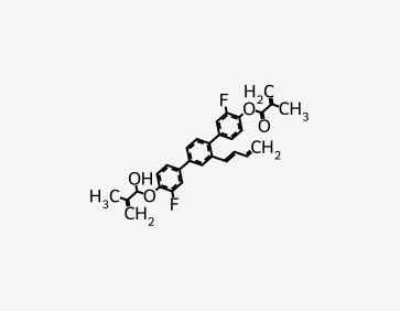 C=C/C=C/c1cc(-c2ccc(OC(O)C(=C)C)c(F)c2)ccc1-c1ccc(OC(=O)C(=C)C)c(F)c1